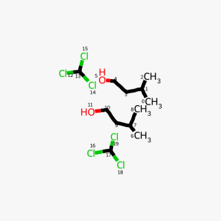 CC(C)CCO.CC(C)CCO.ClC(Cl)Cl.ClC(Cl)Cl